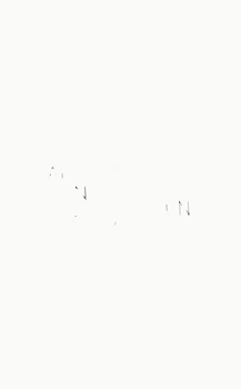 CC(=O)N1CCc2cc(C#N)ccc21